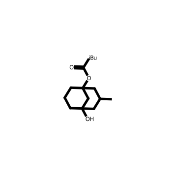 CCC(C)C(=O)OC12CCCC(O)(CC(C)C1)C2